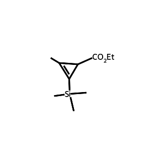 CCOC(=O)C1C(C)=C1[Si](C)(C)C